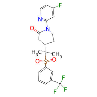 CC(C)(C1CCN(c2cc(F)ccn2)C(=O)C1)S(=O)(=O)c1cccc(C(F)(F)F)c1